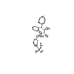 N#C/C(C(=O)NOc1cccc(C(F)(F)F)c1)=C(\O)C(c1ccccc1)c1ccccc1